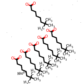 CC(C)(C)CCCCCC(=O)[O-].CC(C)(C)CCCCCC(=O)[O-].CC(C)(C)CCCCCC(=O)[O-].CC(C)(C)CCCCCC(=O)[O-].CC(C)(C)CCCCCC(=O)[O-].CC(C)(C)CCCCCC(=O)[O-].[Mo+6]